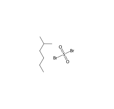 CCCCC(C)C.O=S(=O)(Br)Br